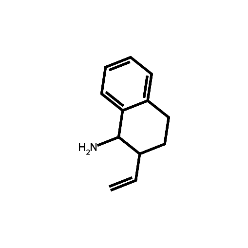 C=CC1CCc2ccccc2C1N